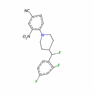 N#Cc1ccc(N2CCC(C(F)c3ccc(F)cc3F)CC2)c([N+](=O)[O-])c1